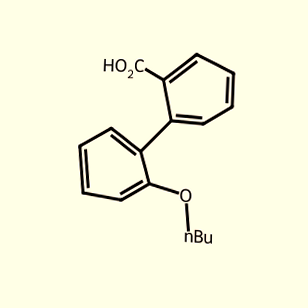 CCCCOc1ccccc1-c1ccccc1C(=O)O